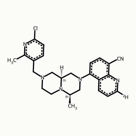 [2H]c1ccc2c(N3C[C@@H]4CN(Cc5ccc(Cl)nc5C)CCN4[C@H](C)C3)ccc(C#N)c2n1